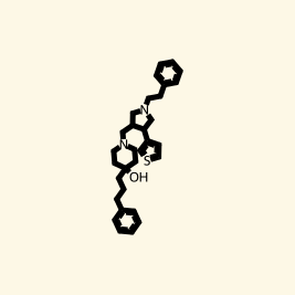 OC1(CCCc2ccccc2)CCN(CC2CN(CCc3ccccc3)CC2c2ccsc2)CC1